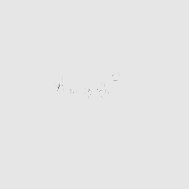 O=C(Cc1nnc([C@H]2CCCc3cnc(NC4Cc5ccccc5C4)nc32)o1)N1CCc2nn[nH]c2C1